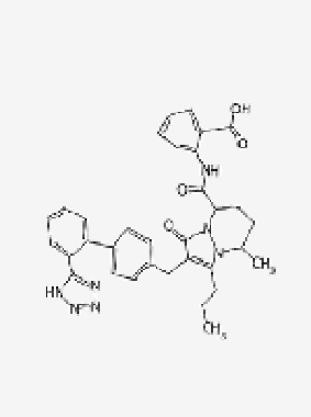 CCCc1c(Cc2ccc(-c3ccccc3-c3nnn[nH]3)cc2)c(=O)n2n1C(C)CCC2C(=O)Nc1ccccc1C(=O)O